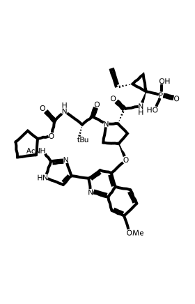 C=C[C@@H]1C[C@]1(NC(=O)[C@@H]1C[C@@H](Oc2cc(-c3c[nH]c(NC(C)=O)n3)nc3cc(OC)ccc23)CN1C(=O)[C@@H](NC(=O)OC1CCCC1)C(C)(C)C)P(=O)(O)O